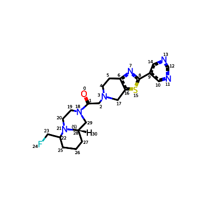 O=C(CN1CCc2nc(-c3cncnc3)sc2C1)N1CCN2C(CF)CCC[C@H]2C1